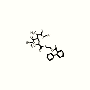 CC(C)OC(=O)C(C)C(CC(C)C(=O)OCCOC(=O)c1ccccc1-c1ccccc1)C(=O)OC(C)C